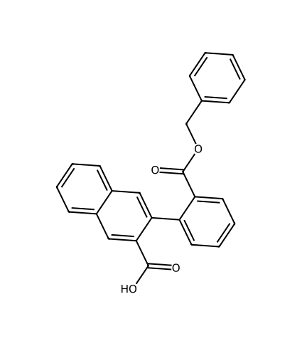 O=C(O)c1cc2ccccc2cc1-c1ccccc1C(=O)OCc1ccccc1